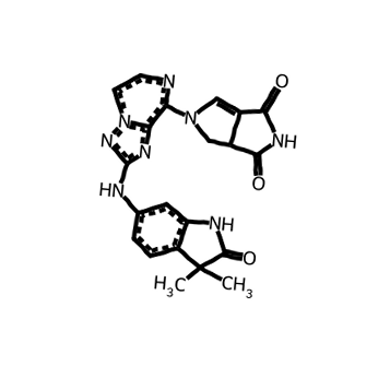 CC1(C)C(=O)Nc2cc(Nc3nc4c(N5C=C6C(=O)NC(=O)C6C5)nccn4n3)ccc21